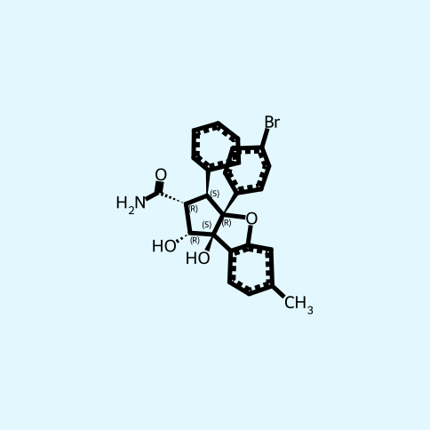 Cc1ccc2c(c1)O[C@@]1(c3ccc(Br)cc3)[C@H](c3ccccc3)[C@@H](C(N)=O)[C@@H](O)[C@@]21O